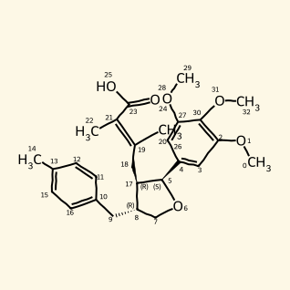 COc1cc([C@H]2OC[C@H](Cc3ccc(C)cc3)[C@H]2CC(C)=C(C)C(=O)O)cc(OC)c1OC